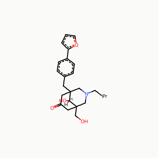 CC(C)CN1CC2(CO)CC(=O)CC(Cc3ccc(-c4ccco4)cc3)(C1)[C@@H]2O